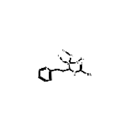 CCO[Si](OCC)(OCC)C(CCc1ccccn1)NC(N)=O